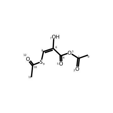 CC(=O)OC(=O)/C(O)=C\SC(C)=O